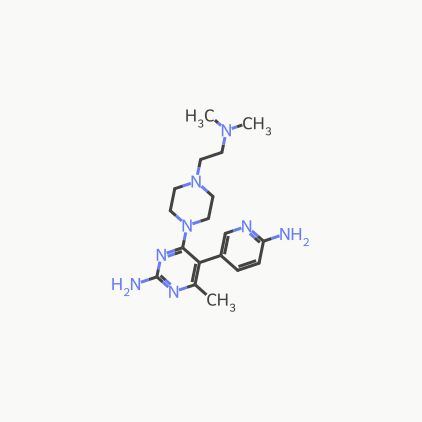 Cc1nc(N)nc(N2CCN(CCN(C)C)CC2)c1-c1ccc(N)nc1